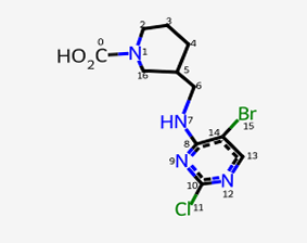 O=C(O)N1CCCC(CNc2nc(Cl)ncc2Br)C1